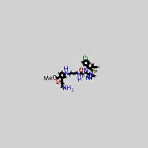 COC(=O)c1ccc(NCCCCNC(=O)C[C@@H]2N=C(c3ccc(Cl)cc3)c3c(sc(C)c3C)-n3c(C)nnc32)cc1C#CCN